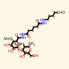 CO[C@@H]1C(C(=O)NNC(=O)CCCCC(=O)NNCCCCC=O)O[C@@H](O[C@@H]2C(O)C(CO)O[C@@H](C)C2NC(C)=O)C(O)[C@H]1O